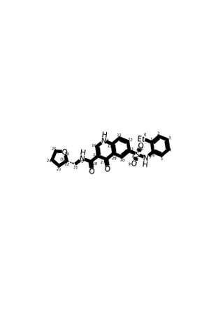 CCc1ccccc1NS(=O)(=O)c1ccc2[nH]cc(C(=O)NC[C@@H]3CCCO3)c(=O)c2c1